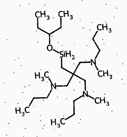 CCCN(C)CC(C[SiH2]OC(CC)CC)(CN(C)CCC)CN(C)CCC